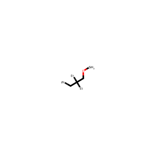 CCC(CC)(CO[SiH3])CC(C)C